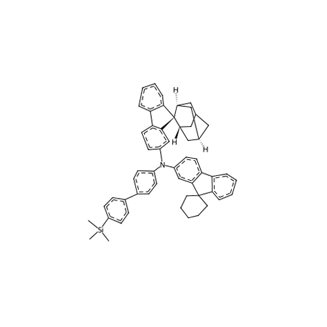 C[Si](C)(C)c1ccc(-c2ccc(N(c3ccc4c(c3)C3(CCCCC3)c3ccccc3-4)c3ccc4c(c3)[C@]3(c5ccccc5-4)[C@@H]4CC5C[C@@H](C4)C[C@@H]3C5)cc2)cc1